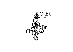 CCOC(=O)c1oc2ccc(S(=O)(=O)N(CC)c3ccc(Cl)cc3CN(Cc3ccc(Br)o3)C(=O)N3CCCCC3)cc2c1C